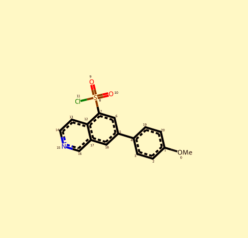 COc1ccc(-c2cc(S(=O)(=O)Cl)c3ccncc3c2)cc1